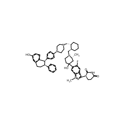 C[C@@H]1CC(O)(c2cc3c(cc2F)c(N2CCC(=O)NC2=O)nn3C)CCN1C[C@@H]1CCCC[C@H]1CN1CCN(c2ccc([C@@H]3c4ccc(O)cc4CC[C@@H]3c3ccccc3)cc2)CC1